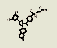 Cc1ccc2cc([C@H]3C[C@@H](c4cc(Cl)cc(Cl)c4)CN3C(C)c3ccc(C(=O)NCCC(=O)O)cc3)ccc2c1